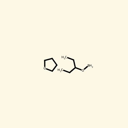 BOC(CC)CC.C1CCOC1